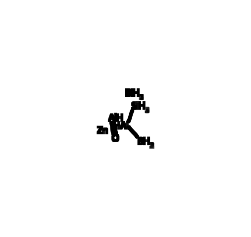 [BH2][AlH][SiH3].[BiH3].[O]=[AlH].[Zn]